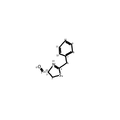 O=C[C@H]1CSC(Cc2ccccc2)=N1